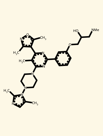 CNCC(O)COc1cccc(-c2nc(-c3c(C)noc3C)c(C)c(N3CCN(n4c(C)cnc4C)CC3)n2)c1